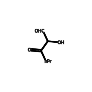 CCCC(=O)C(O)C=O